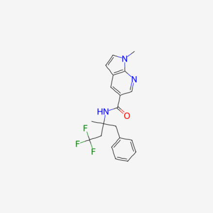 Cn1ccc2cc(C(=O)NC(C)(Cc3ccccc3)CC(F)(F)F)cnc21